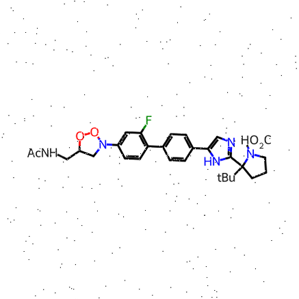 CC(=O)NCC1CN(c2ccc(-c3ccc(-c4cnc(C5(C(C)(C)C)CCCN5C(=O)O)[nH]4)cc3)c(F)c2)OO1